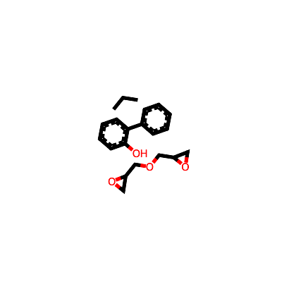 C(OCC1CO1)C1CO1.CCC.Oc1ccccc1-c1ccccc1